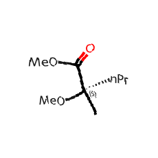 CCC[C@](C)(OC)C(=O)OC